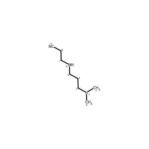 CN(C)CCCNCCC#N